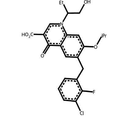 CCC(CO)n1cc(C(=O)O)c(=O)c2cc(Cc3cccc(Cl)c3F)c(OC(C)C)cc21